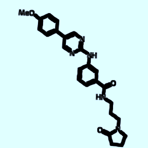 COc1ccc(-c2cnc(Nc3cccc(C(=O)NCCCN4CCCC4=O)c3)nc2)cc1